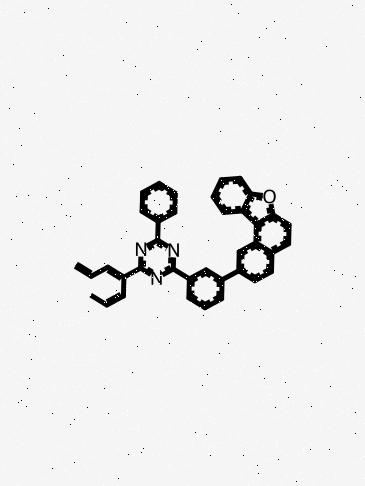 C=C/C=C(\C=C/C)c1nc(-c2ccccc2)nc(-c2cccc(-c3ccc4ccc5oc6ccccc6c5c4c3)c2)n1